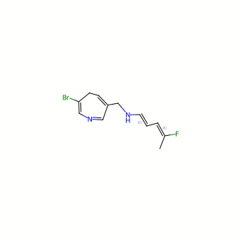 C/C(F)=C\C=C\NCC1=CCC(Br)=CN=C1